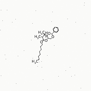 C=CCCCCCCO[C@@H]1OC2COC(c3ccccc3)O[C@@H]2[C@H](C)C1C